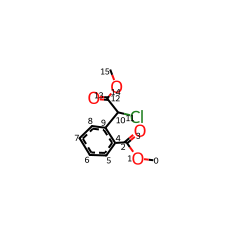 COC(=O)c1ccccc1C(Cl)C(=O)OC